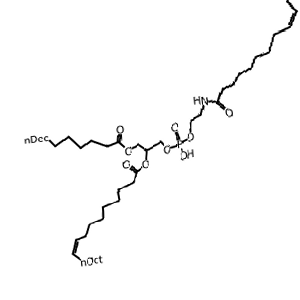 CCCCC/C=C\C/C=C\CCCCCCCC(=O)NCCOP(=O)(O)OCC(COC(=O)CCCCCCCCCCCCCCC)OC(=O)CCCCCCC/C=C\CCCCCCCC